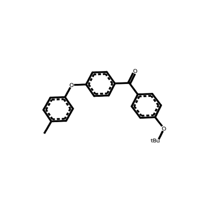 Cc1ccc(Oc2ccc(C(=O)c3ccc(OC(C)(C)C)cc3)cc2)cc1